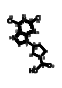 O=C(O)N1CC[C@H](n2cnc3c(Cl)nc(Cl)nc32)C1